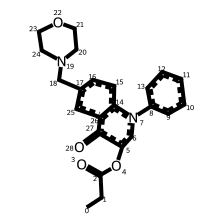 CCC(=O)Oc1cn(-c2ccccc2)c2ccc(CN3CCOCC3)cc2c1=O